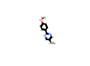 CCCCc1cnc(-c2ccc(OC(C)C)cc2)nc1